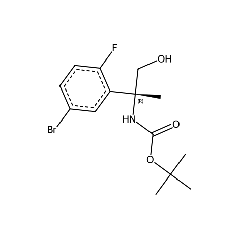 CC(C)(C)OC(=O)N[C@@](C)(CO)c1cc(Br)ccc1F